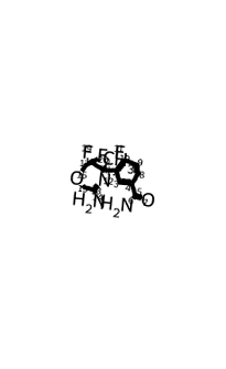 C[C@]1(c2cc(C(N)=O)ccc2F)N=C(N)COCC1(F)F